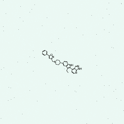 CCc1c(-c2ccnc3[nH]ncc23)[nH]c2ccc(C3CCN(Cc4cc(-c5ccccc5)on4)CC3)cc12